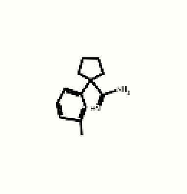 Cc1cccc(C2(C(=N)N)CCCC2)c1